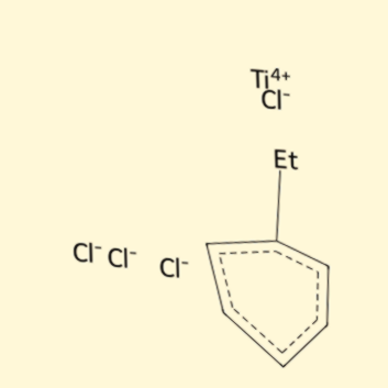 CCc1ccccc1.[Cl-].[Cl-].[Cl-].[Cl-].[Ti+4]